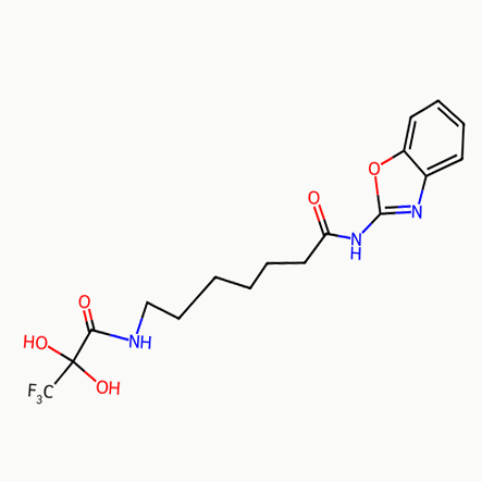 O=C(CCCCCCNC(=O)C(O)(O)C(F)(F)F)Nc1nc2ccccc2o1